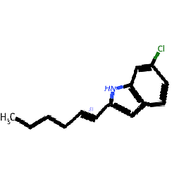 CCCC/C=C/c1cc2ccc(Cl)cc2[nH]1